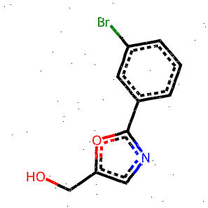 OCc1cnc(-c2cccc(Br)c2)o1